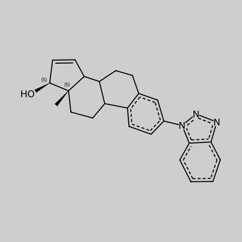 C[C@]12CCC3c4ccc(-n5nnc6ccccc65)cc4CCC3C1C=C[C@@H]2O